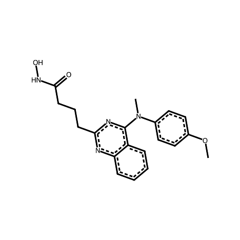 COc1ccc(N(C)c2nc(CCCC(=O)NO)nc3ccccc23)cc1